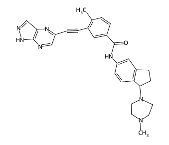 Cc1ccc(C(=O)Nc2ccc3c(c2)CCC3N2CCN(C)CC2)cc1C#Cc1cnc2[nH]ncc2n1